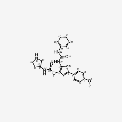 COc1ccc(-c2cc(OC(=O)N[C@H]3CCNC3)c(NC(=O)Nc3cnccn3)s2)cc1